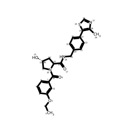 CCOc1cccc(C(=O)N2C[C@H](O)CC2C(=O)NCc2ccc(-c3scnc3C)cc2)c1